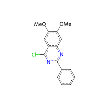 COc1cc2nc(-c3ccccc3)nc(Cl)c2cc1OC